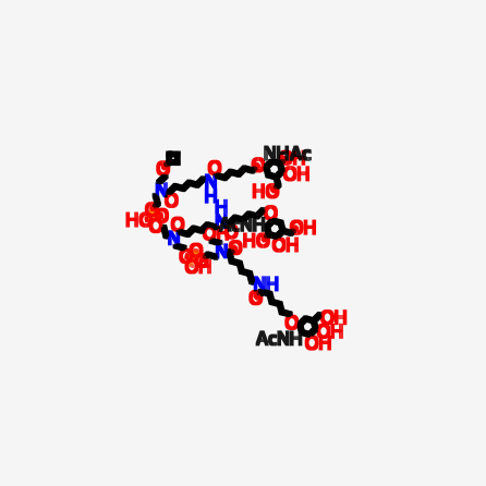 CC(=O)NC1C(OCCCCCC(=O)NCCCCCC(=O)N(CCO)CCOP(=O)(O)OCCN(CCOP(=O)(O)OCCN(CCOC2CCC2)C(=O)CCCCCNC(=O)CCCCCOC2CC(CO)C(O)C(O)C2NC(C)=O)C(=O)CCCCCNC(=O)CCCCCOC2CC(CO)C(O)C(O)C2NC(C)=O)CC(CO)C(O)C1O